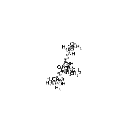 CC(C)(C)OC(=O)NCCC[C@H](CNC(=O)[C@@H](N)CCCN(C(=O)O)C(C)(C)C)NC(=O)OC(C)(C)C